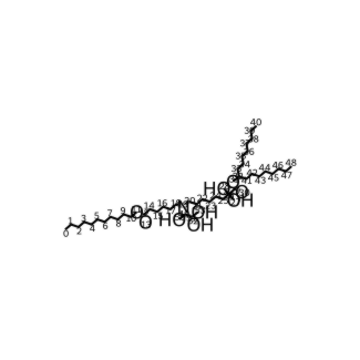 CCCCCCCCCCCOC(=O)CCCCCN(CCCCCCC(O)(O)C(=O)OC(CCCCCCCC)CCCCCCCC)C(O)C(O)O